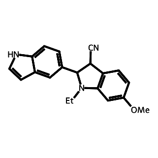 CCN1c2cc(OC)ccc2C(C#N)C1c1ccc2[nH]ccc2c1